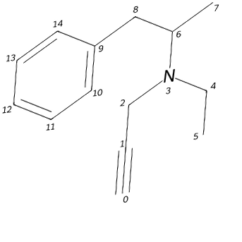 C#CCN(CC)C(C)Cc1ccccc1